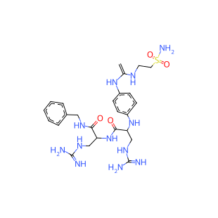 C=C(NCCS(N)(=O)=O)Nc1ccc(NC(CNC(=N)N)C(=O)NC(CNC(=N)N)C(=O)NCc2ccccc2)cc1